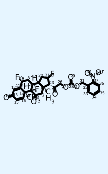 C[C@]12CC(=O)[C@@]3(F)[C@@H](C[C@H](F)C4=CC(=O)C=C[C@@]43C)[C@@H]1CC(F)[C@@H]2C(=O)COC(=O)OCc1ccccc1[N+](=O)[O-]